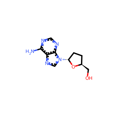 Nc1ncnc2c1ncn2[C@@H]1CC[C@@H](CO)O1